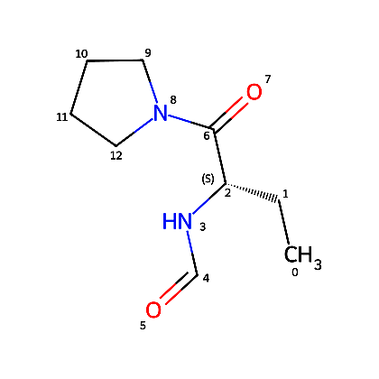 CC[C@H](NC=O)C(=O)N1CCCC1